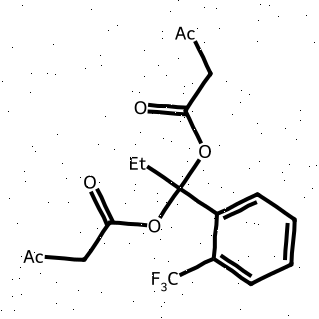 CCC(OC(=O)CC(C)=O)(OC(=O)CC(C)=O)c1ccccc1C(F)(F)F